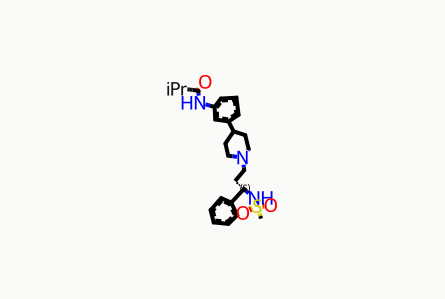 CC(C)C(=O)Nc1cccc(C2CCN(CC[C@H](NS(C)(=O)=O)c3ccccc3)CC2)c1